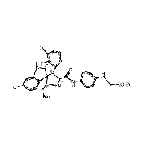 CCOC(=O)CNc1ccc(NC(=O)[C@H]2N[C@@H](CC(C)(C)C)C3(C(=O)Nc4cc(Cl)ccc43)[C@H]2c2cccc(Cl)c2F)cc1